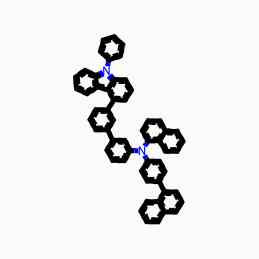 c1ccc(-n2c3ccccc3c3c(-c4cccc(-c5cccc(N(c6ccc(-c7cccc8ccccc78)cc6)c6cccc7ccccc67)c5)c4)cccc32)cc1